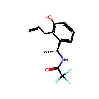 C=CCc1c(O)cccc1[C@@H](C)NC(=O)C(F)(F)F